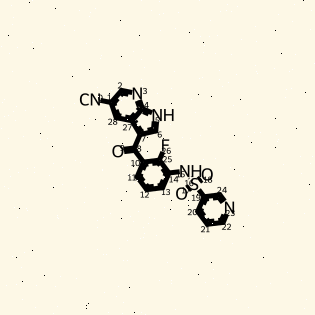 [C-]#[N+]c1cnc2[nH]cc(C(=O)c3cccc(NS(=O)(=O)c4cccnc4)c3F)c2c1